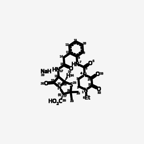 CCN1CCN(C(=O)Nc2ccccc2CC(=O)NC2C(=O)N3[C@@H]2SC(C)(C)[C@@H]3C(=O)O)C(=O)C1=O.[NaH]